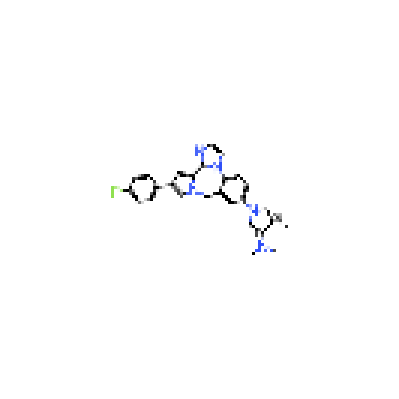 C[C@H]1CN(c2ccc3c(c2)Cn2cc(-c4ccc(F)cc4)cc2-c2nccn2-3)C[C@H]1N(C)C